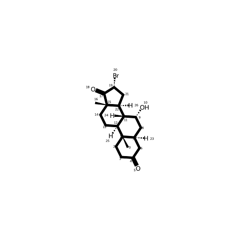 C[C@]12CCC(=O)C[C@@H]1C[C@@H](O)[C@@H]1[C@@H]2CC[C@]2(C)C(=O)[C@H](Br)C[C@@H]12